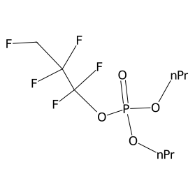 CCCOP(=O)(OCCC)OC(F)(F)C(F)(F)CF